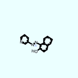 Oc1ccc2ccccc2c1/N=N/c1cccnc1